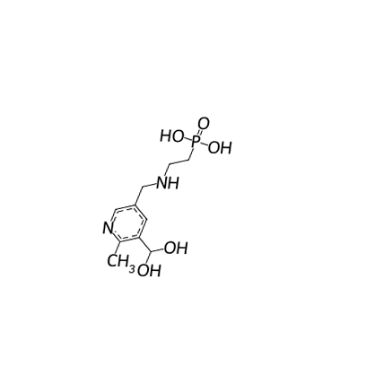 Cc1ncc(CNCCP(=O)(O)O)cc1C(O)O